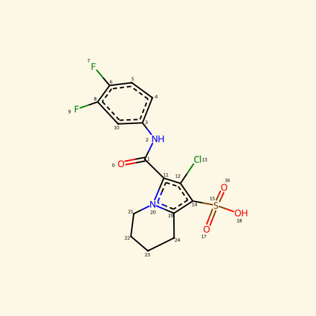 O=C(Nc1ccc(F)c(F)c1)c1c(Cl)c(S(=O)(=O)O)c2n1CCCC2